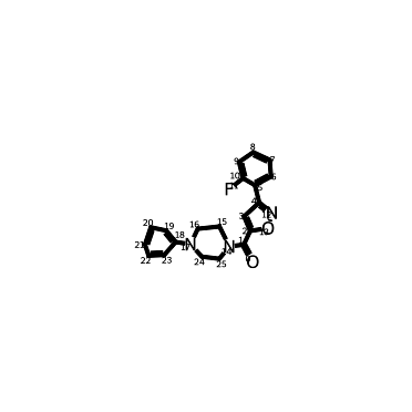 O=C(c1cc(-c2ccccc2F)no1)N1CCN(c2ccccc2)CC1